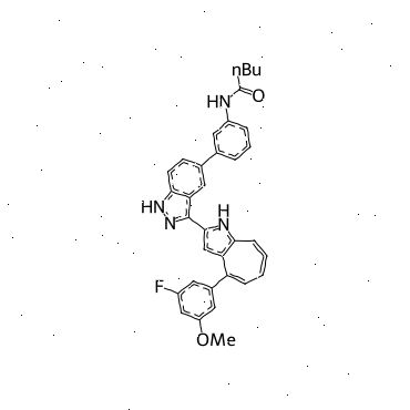 CCCCC(=O)Nc1cccc(-c2ccc3[nH]nc(-c4cc5c([nH]4)C=C=CC=C5c4cc(F)cc(OC)c4)c3c2)c1